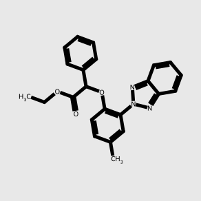 CCOC(=O)C(Oc1ccc(C)cc1-n1nc2ccccc2n1)c1ccccc1